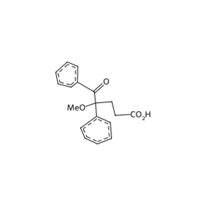 COC(CCC(=O)O)(C(=O)c1ccccc1)c1ccccc1